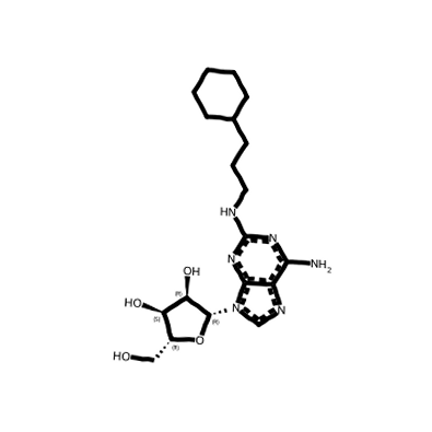 Nc1nc(NCCCC2CCCCC2)nc2c1ncn2[C@@H]1O[C@H](CO)[C@@H](O)[C@H]1O